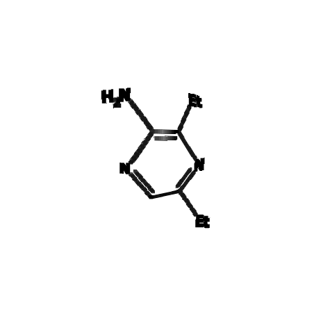 CCc1cnc(N)c(CC)n1